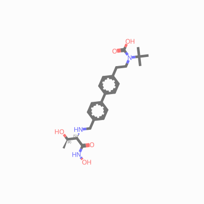 C[C@@H](O)[C@H](NCc1ccc(-c2ccc(CCN(C(=O)O)C(C)(C)C)cc2)cc1)C(=O)NO